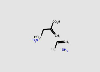 C=C(CC(=O)O)C(=O)O.C=CC#N.N.N